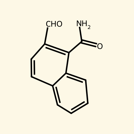 NC(=O)c1c(C=O)ccc2ccccc12